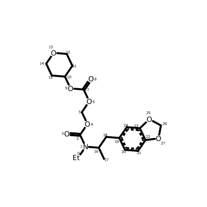 CCN(C(=O)OCOC(=O)OC1CCOCC1)C(C)Cc1ccc2c(c1)OCO2